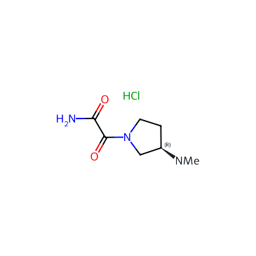 CN[C@@H]1CCN(C(=O)C(N)=O)C1.Cl